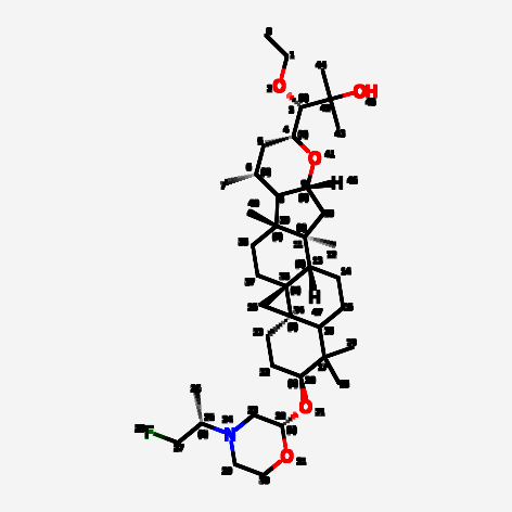 CCO[C@@H]([C@H]1C[C@@H](C)C2[C@@H](C[C@@]3(C)[C@@H]4CCC5C(C)(C)[C@@H](O[C@H]6CN([C@@H](C)CF)CCO6)CC[C@@]56C[C@@]46CC[C@]23C)O1)C(C)(C)O